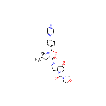 CC(C)CC(NC(=O)c1ccc(N2CCNCC2)cc1)C(=O)N1CCC2C1C(=O)CN2C(=O)N1CCOCC1